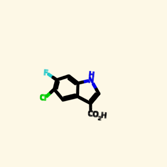 O=C(O)c1c[nH]c2cc(F)c(Cl)cc12